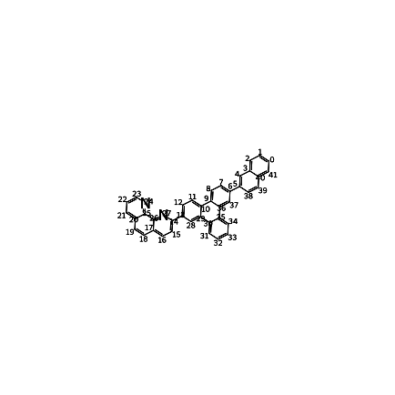 c1ccc2cc(-c3ccc4c5ccc(-c6ccc7ccc8cccnc8c7n6)cc5c5ccccc5c4c3)ccc2c1